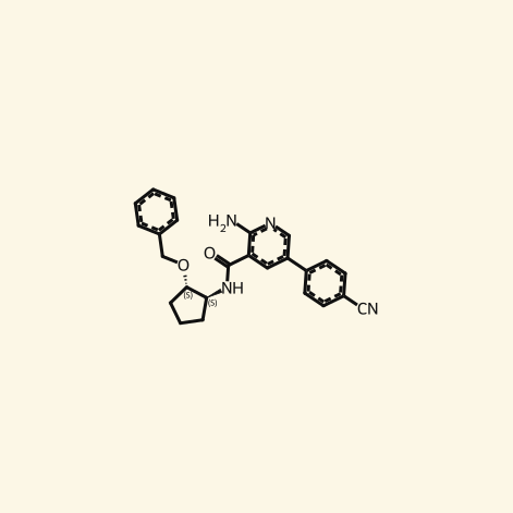 N#Cc1ccc(-c2cnc(N)c(C(=O)N[C@H]3CCC[C@@H]3OCc3ccccc3)c2)cc1